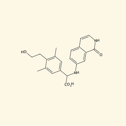 Cc1cc(C(Nc2ccc3cc[nH]c(=O)c3c2)C(=O)O)cc(C)c1CCO